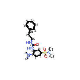 CCN(CC)S(=O)(=O)c1ccc(N(C)C)c(NC(=O)NCCc2ccccc2)c1